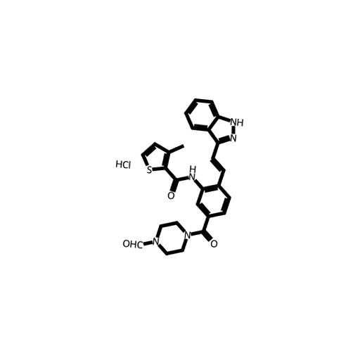 Cc1ccsc1C(=O)Nc1cc(C(=O)N2CCN(C=O)CC2)ccc1/C=C/c1n[nH]c2ccccc12.Cl